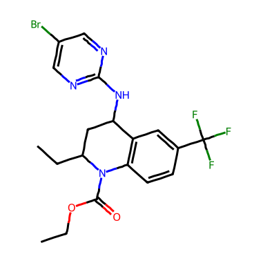 CCOC(=O)N1c2ccc(C(F)(F)F)cc2C(Nc2ncc(Br)cn2)CC1CC